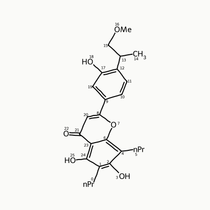 CCCc1c(O)c(CCC)c2oc(-c3ccc(C(C)COC)c(O)c3)cc(=O)c2c1O